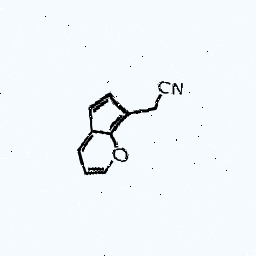 N#CCc1ccc2cccoc1-2